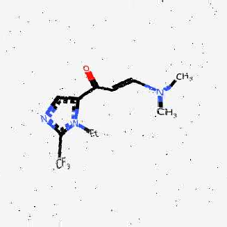 CCn1c(C(=O)C=CN(C)C)cnc1C(F)(F)F